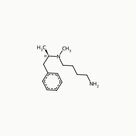 C[C@H](Cc1ccccc1)N(C)CCCCN